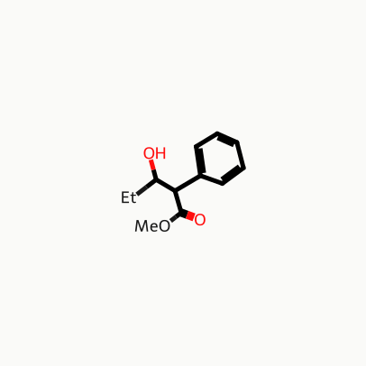 CCC(O)C(C(=O)OC)c1ccccc1